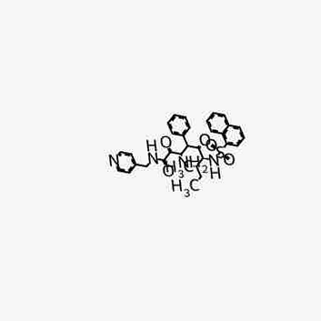 CC[C@H](C)[C@H](NS(=O)(=O)c1cccc2ccccc12)C(=O)C(c1ccccc1)[C@H](N)C(=O)C(=O)NCc1ccncc1